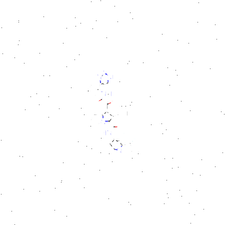 Cc1c(C(=O)C(=O)NC2(c3c[nH]nn3)CC(F)(F)C2)c2n(c1C(=O)Nc1ccnc(C(C)F)c1F)CCC2